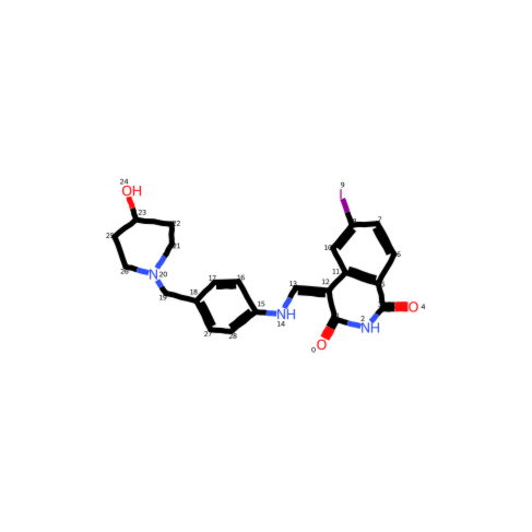 O=C1NC(=O)c2ccc(I)cc2C1=CNc1ccc(CN2CCC(O)CC2)cc1